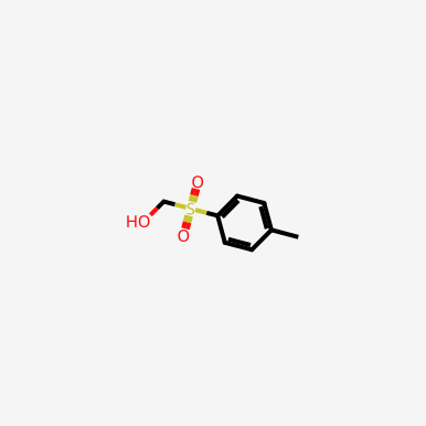 Cc1ccc(S(=O)(=O)CO)cc1